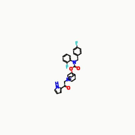 O=C(C[N+]12CCC(CC1)C(OC(=O)N(Cc1ccc(F)cc1)c1ccccc1F)C2)c1ccc[nH]1